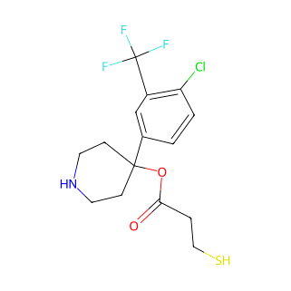 O=C(CCS)OC1(c2ccc(Cl)c(C(F)(F)F)c2)CCNCC1